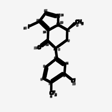 C[C@H]1CN(c2ccc(C(F)(F)F)c(Cl)c2)C(=O)c2c(I)cnn21